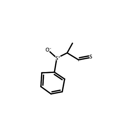 CC([C]=S)[S+]([O-])c1ccccc1